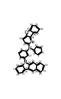 c1ccc(N(c2cccc(-n3c4ccccc4c4cc5ccccc5cc43)c2)c2ccc3oc4ccccc4c3n2)cc1